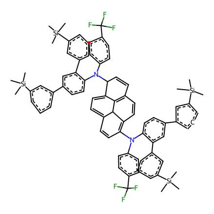 C[Si](C)(C)c1cccc(-c2ccc(N(C3=C4C=CC5=C6C(=CC=C(C=C3)C46)C(N(c3ccc(C(F)(F)F)cc3)c3ccc(-c4cccc([Si](C)(C)C)c4)cc3-c3cccc([Si](C)(C)C)c3)C=C5)c3ccc(C(F)(F)F)cc3)c(-c3cccc([Si](C)(C)C)c3)c2)c1